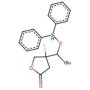 CC(C)(C)C(O[SiH](c1ccccc1)c1ccccc1)C1(F)COC(=O)C1